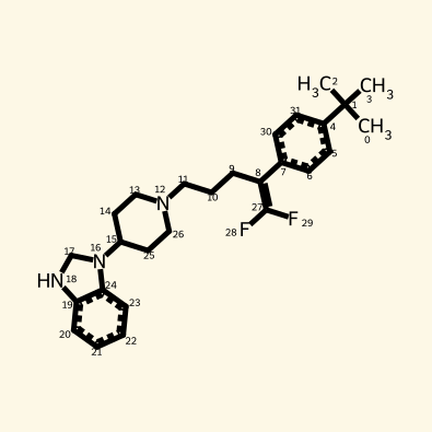 CC(C)(C)c1ccc(C(CCCN2CCC(N3CNc4ccccc43)CC2)=C(F)F)cc1